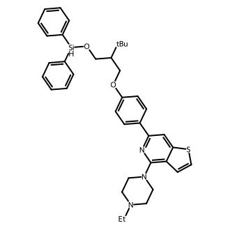 CCN1CCN(c2nc(-c3ccc(OCC(CO[SiH](c4ccccc4)c4ccccc4)C(C)(C)C)cc3)cc3sccc23)CC1